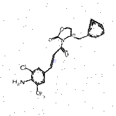 Nc1c(Cl)cc(/C=C/C(=O)N2C(=O)OC[C@H]2Cc2ccccc2)cc1C(F)(F)F